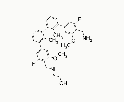 COc1cc(-c2cccc(-c3cccc(-c4cc(F)c(CNCCO)c(OC)c4)c3C)c2C)cc(F)c1CN